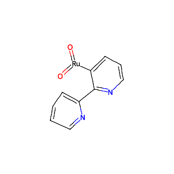 [O]=[Ru](=[O])[c]1cccnc1-c1ccccn1